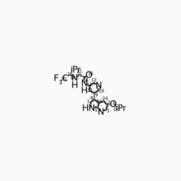 CC(C)Oc1cnc2[nH]cc(-c3cncc(NC(=O)[C@H](NCC(F)(F)F)C(C)C)c3)c2c1